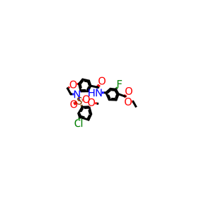 CCOC(=O)c1ccc(NC(=O)c2ccc3c(c2)N(S(=O)(=O)c2cc(Cl)ccc2OC)CCO3)cc1F